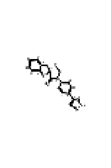 O=C1N(c2ccc(-c3cn[nH]c3)cc2)CC[C@]12Cc1ccccc1O2